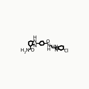 NC(=O)c1cccc2[nH]c(-c3ccc(C(=O)NCCc4nc5cc(Cl)ccc5[nH]4)cc3)nc12